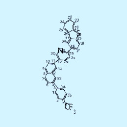 FC(F)(F)c1ccc(-c2ccc3ccc(-c4ccc(-c5ccc6sc7ccccc7c6c5)nc4)cc3c2)cc1